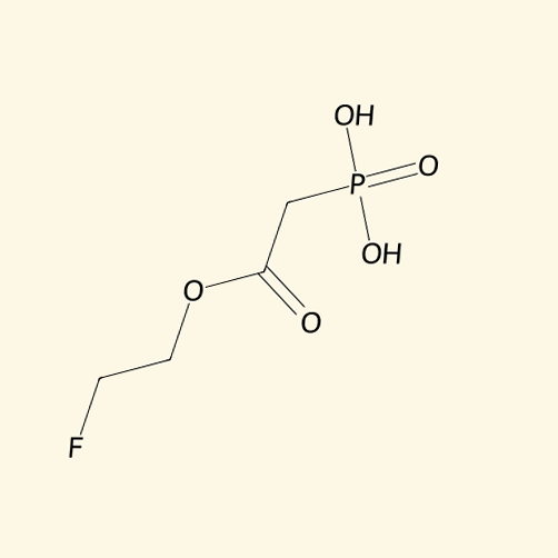 O=C(CP(=O)(O)O)OCCF